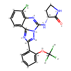 O=C1NCC[C@H]1Nc1nc2c(Br)cccc2c2nc(-c3ccccc3OC(F)(F)F)nn12